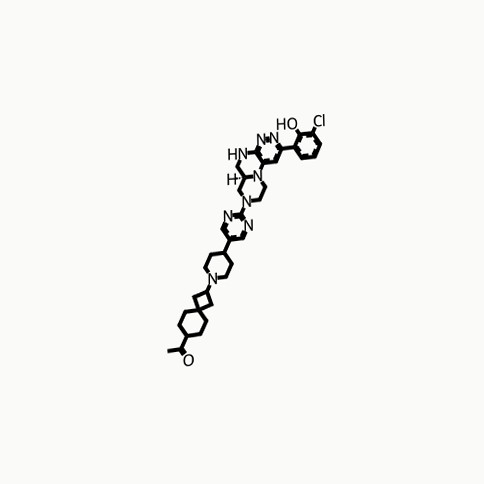 CC(=O)C1CCC2(CC1)CC(N1CCC(c3cnc(N4CCN5c6cc(-c7cccc(Cl)c7O)nnc6NC[C@@H]5C4)nc3)CC1)C2